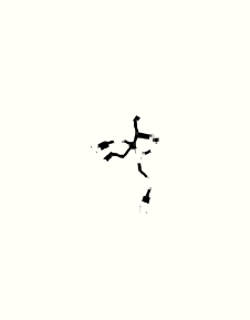 N#CSCN1SN=C(C=S)C1(CC=S)SC#N